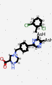 O=C(O)C1CN(Cc2ccc(-c3cnc([AsH2])c([AsH]Cc4c(Cl)cccc4Cl)n3)cc2)CCN1